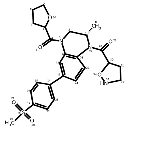 C[C@H]1CN(C(=O)C2CCCO2)c2cc(-c3ccc(S(C)(=O)=O)cc3)ccc2N1C(=O)C1CCNO1